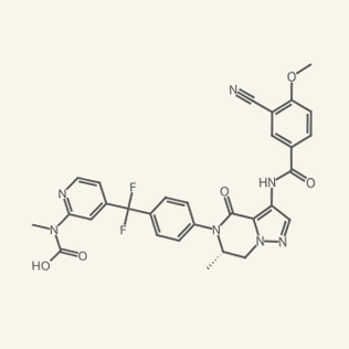 COc1ccc(C(=O)Nc2cnn3c2C(=O)N(c2ccc(C(F)(F)c4ccnc(N(C)C(=O)O)c4)cc2)[C@@H](C)C3)cc1C#N